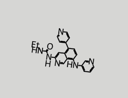 CCNC(=O)Nc1cc2c(-c3ccncc3)ccc(Nc3cccnc3)c2cn1